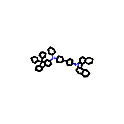 C1=CCCC(C2(c3ccccc3)c3ccccc3-c3ccc(N(c4ccccc4)c4ccc(-c5ccc(-n6c7ccc8c(c7c7c9ccccc9ccc76)C=CCC8)cc5)cc4)cc32)=C1